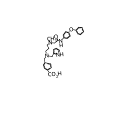 CN(CCCN(Cc1ccc(C(=O)O)cc1)Cc1ccc[nH]1)CC(=O)Nc1ccc(Oc2ccccc2)cc1